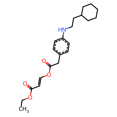 CCOC(=O)C=COC(=O)Cc1ccc(NCCC2CCCCC2)cc1